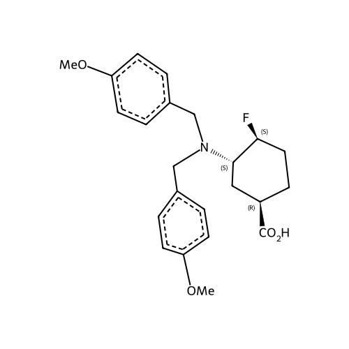 COc1ccc(CN(Cc2ccc(OC)cc2)[C@H]2C[C@H](C(=O)O)CC[C@@H]2F)cc1